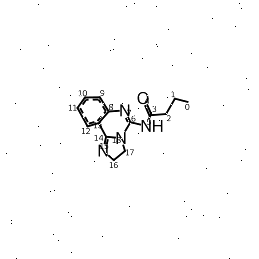 CCCC(=O)NC1=Nc2ccccc2C2=NCCN12